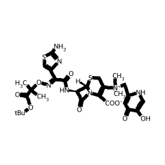 CC(C)(C)OC(=O)C(C)(C)ON=C(C(=O)N[C@@H]1C(=O)N2C(C(=O)[O-])=C([N+](C)(C)Cc3cc(=O)c(O)c[nH]3)CS[C@@H]12)c1csc(N)n1